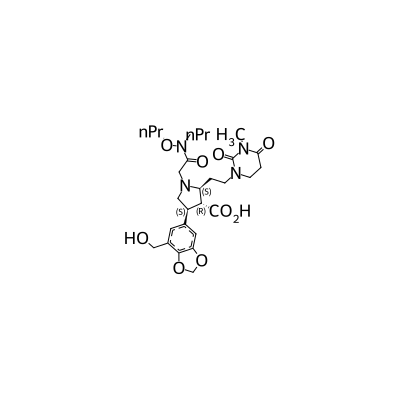 CCCON(CCC)C(=O)CN1C[C@H](c2cc(CO)c3c(c2)OCO3)[C@@H](C(=O)O)[C@@H]1CCN1CCC(=O)N(C)C1=O